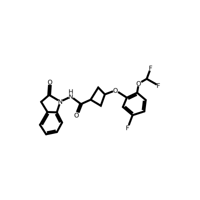 O=C(NN1C(=O)Cc2ccccc21)C1CC(Oc2cc(F)ccc2OC(F)F)C1